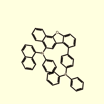 c1ccc(N(c2ccccc2)c2ccc(-c3cccc4oc5c6ccccc6c(N(c6ccccc6)c6cccc7ccccc67)cc5c34)cc2)cc1